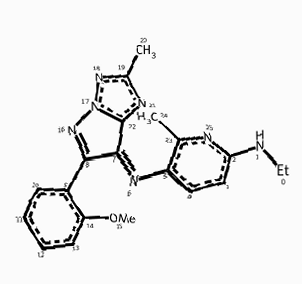 CCNc1ccc(/N=C2/C(c3ccccc3OC)=Nn3nc(C)nc32)c(C)n1